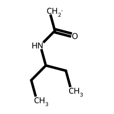 [CH2]C(=O)NC(CC)CC